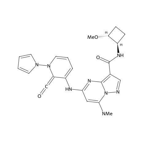 CNc1cc(NC2=CC=CN(n3cccc3)C2=C=O)nc2c(C(=O)N[C@@H]3CC[C@H]3OC)cnn12